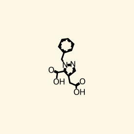 O=C(O)Cc1cnn(Cc2ccccc2)c1C(=O)O